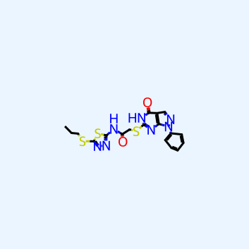 CCCSc1nnc(NC(=O)CSc2nc3c(cnn3-c3ccccc3)c(=O)[nH]2)s1